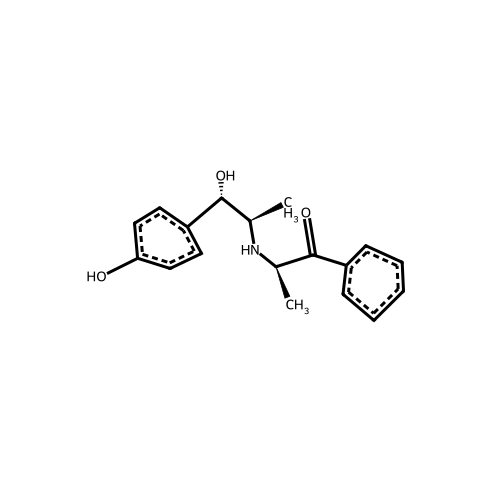 C[C@@H](N[C@H](C)[C@@H](O)c1ccc(O)cc1)C(=O)c1ccccc1